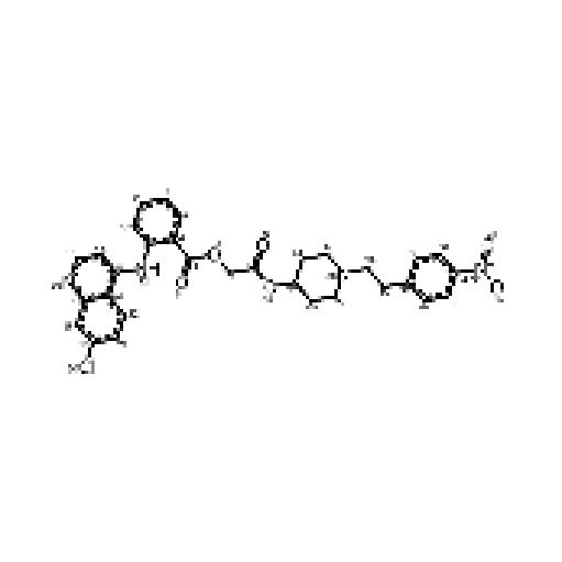 O=C(COC(=O)c1ccccc1Nc1ccnc2cc(Cl)ccc12)OC1CCN(CCc2ccc([N+](=O)[O-])cc2)CC1